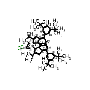 CC(C)C1=Cc2c(-c3cc(C(C)(C)C)cc(C(C)(C)C)c3)cccc2[CH]1[Zr+2]1([CH]2C(C(C)C)=Cc3c(-c4cc(C(C)(C)C)cc(C(C)(C)C)c4)cccc32)[CH2]C[CH2]1.[Cl-].[Cl-]